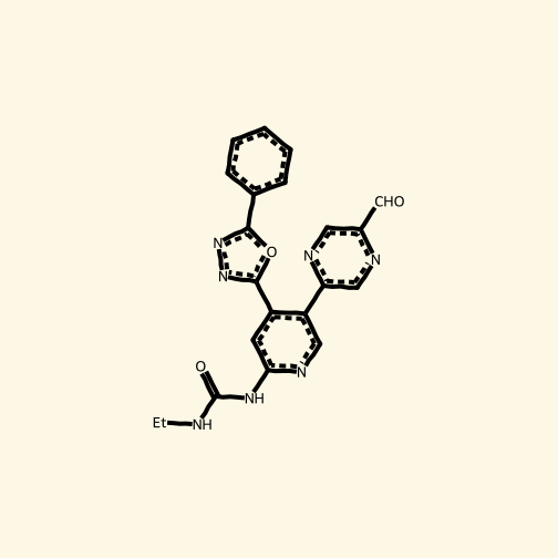 CCNC(=O)Nc1cc(-c2nnc(-c3ccccc3)o2)c(-c2cnc(C=O)cn2)cn1